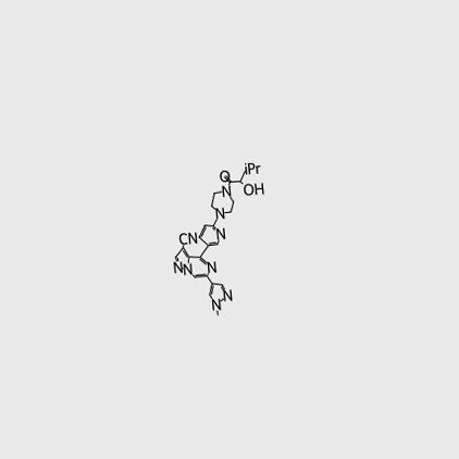 CC(C)C(O)C(=O)N1CCN(c2ccc(-c3nc(-c4cnn(C)c4)cn4ncc(C#N)c34)cn2)CC1